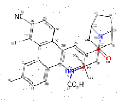 Cc1ccc(-c2ccc(C(=O)N3C4CCC3CC(CC(C)(C)NC(=O)O)C4)cc2-c2ccc(C#N)c(F)c2)cc1